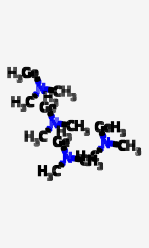 C[N](C)[GeH3].C[N](C)[GeH3].C[N](C)[GeH3].C[N](C)[GeH3]